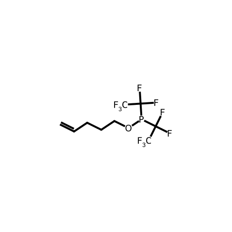 C=CCCCOP(C(F)(F)C(F)(F)F)C(F)(F)C(F)(F)F